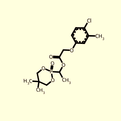 Cc1cc(OCC(=O)OC(C)P2(=O)OCC(C)(C)CO2)ccc1Cl